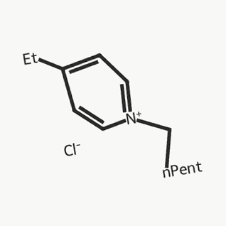 CCCCCC[n+]1ccc(CC)cc1.[Cl-]